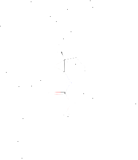 CC(C)C[C@@]1(C(=O)O)SC1NC(=O)OC(C)(C)C